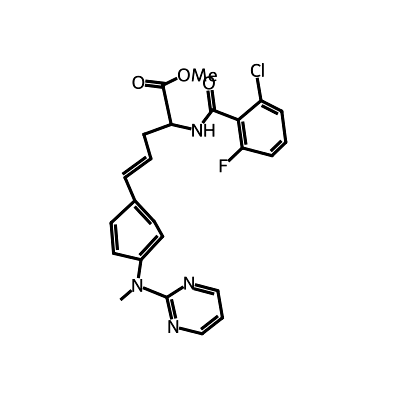 COC(=O)C(CC=Cc1ccc(N(C)c2ncccn2)cc1)NC(=O)c1c(F)cccc1Cl